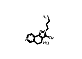 Cl.N#Cc1c2c(nn1CCCN)-c1ccncc1CC2